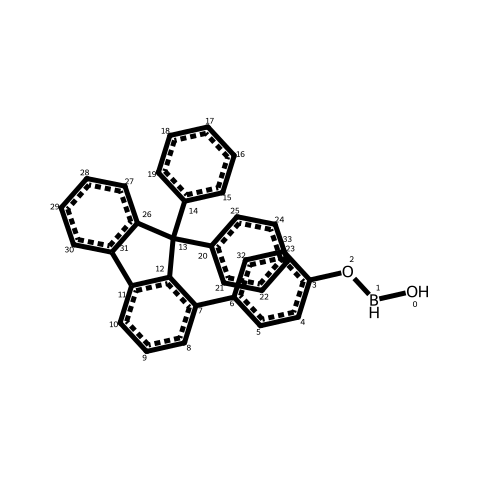 OBOc1ccc(-c2cccc3c2C(c2ccccc2)(c2ccccc2)c2ccccc2-3)cc1